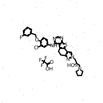 O=C(O)C(F)(F)F.O[C@H](CN1CCCC1)Cn1cc2c(n1)CCc1c-2sc2ncnc(Nc3ccc(OCc4cccc(F)c4)c(Cl)c3)c12